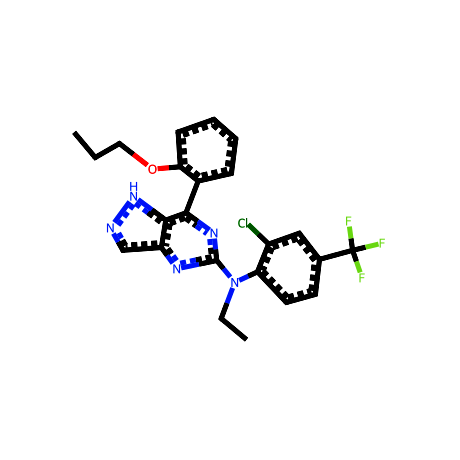 CCCOc1ccccc1-c1nc(N(CC)c2ccc(C(F)(F)F)cc2Cl)nc2cn[nH]c12